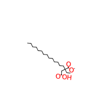 CCCCCCCCCCCCCCC(CC)(CC(=O)O)C(=O)OC